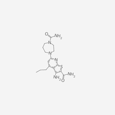 CCCc1cc(N2CCCN(C(N)=O)CC2)nc2sc(C(N)=O)c(N)c12